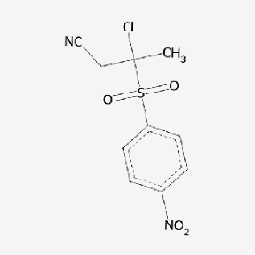 CC(Cl)(CC#N)S(=O)(=O)c1ccc([N+](=O)[O-])cc1